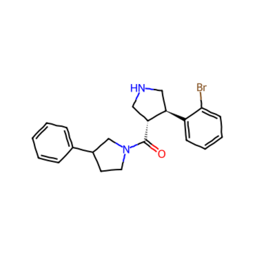 O=C([C@@H]1CNC[C@H]1c1ccccc1Br)N1CCC(c2ccccc2)C1